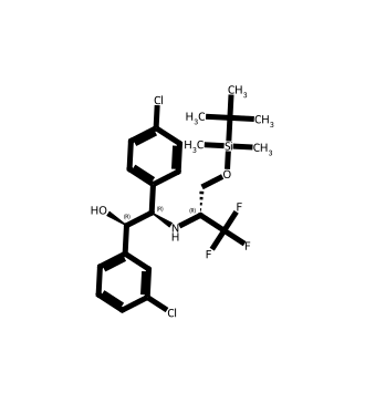 CC(C)(C)[Si](C)(C)OC[C@@H](N[C@H](c1ccc(Cl)cc1)[C@H](O)c1cccc(Cl)c1)C(F)(F)F